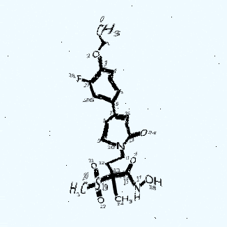 CCOc1ccc(-c2ccn(CCC(C)(C(=O)NO)S(C)(=O)=O)c(=O)c2)cc1F